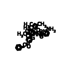 CC1CN(c2nc(C(C)(C)C)c(C3=CCN(C(=O)OCc4ccccc4)CC3)cc2C(=O)NS(=O)(=O)c2cccc(N)n2)C(C)(C)C1